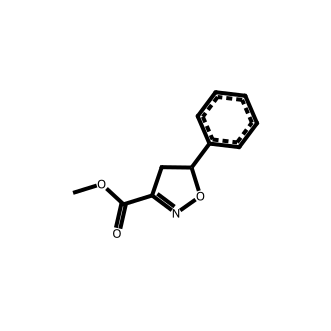 COC(=O)C1=NOC(c2ccccc2)C1